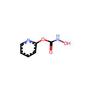 O=C(NO)Oc1ccccn1